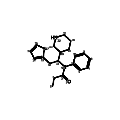 CCC(=O)N(c1ccccc1)C(Cc1cccs1)C1CCCNC1